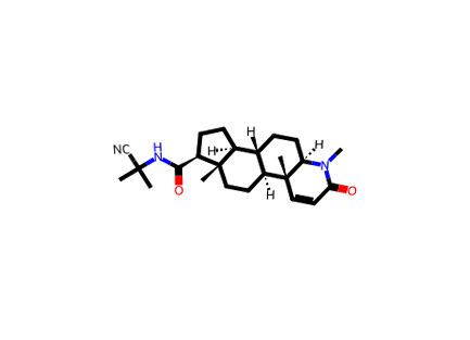 CN1C(=O)C=C[C@]2(C)[C@H]3CC[C@]4(C)[C@@H](C(=O)NC(C)(C)C#N)CC[C@H]4[C@@H]3CC[C@@H]12